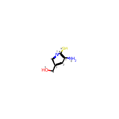 Nc1cc(CO)cnc1S